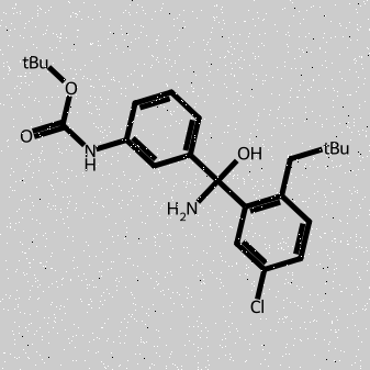 CC(C)(C)Cc1ccc(Cl)cc1C(N)(O)c1cccc(NC(=O)OC(C)(C)C)c1